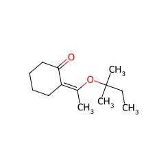 CCC(C)(C)O/C(C)=C1/CCCCC1=O